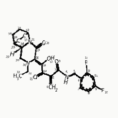 C=C(C(=O)NCc1ccc(F)cc1F)C(=O)/C(O)=C1/C(=O)N2C3CCC(CC3)[C@H]2CN1CC